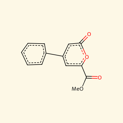 COC(=O)c1cc(-c2ccccc2)cc(=O)o1